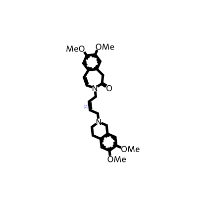 COc1cc2c(cc1OC)CC(=O)N(C/C=C\CN1CCc3cc(OC)c(OC)cc3C1)C=C2